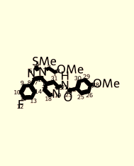 COCCn1c(SC)nc(-c2ccc(F)cc2)c1-c1ccnc(NC(=O)c2ccc(OC)cc2)c1